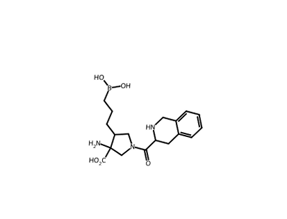 NC1(C(=O)O)CN(C(=O)C2Cc3ccccc3CN2)CC1CCCB(O)O